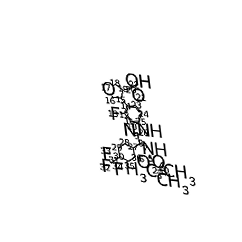 CC(C)(C)OC(=O)NC(c1nc2c(F)c(C3COCC3C(=O)O)ccc2[nH]1)C1CCC(C(F)(F)F)CC1